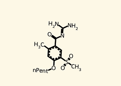 CCCCCOc1cc(C)c(C(=O)N=C(N)N)cc1S(C)(=O)=O